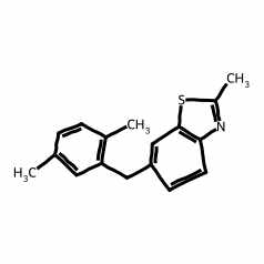 Cc1ccc(C)c(Cc2ccc3nc(C)sc3c2)c1